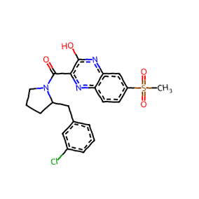 CS(=O)(=O)c1ccc2nc(C(=O)N3CCCC3Cc3cccc(Cl)c3)c(O)nc2c1